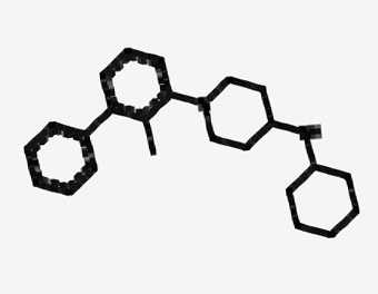 Cc1c(-c2ccccc2)cccc1N1CCC(NC2CCCCC2)CC1